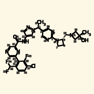 CC(c1cnc(N2CC[C@H]2CN2CC(C)(O)C2)nc1)n1cc(NC(=O)c2cncc(-c3c(C(F)F)ccc(Cl)c3F)n2)cn1